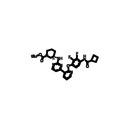 CC(C)(C)OC(=O)N1CCC[C@H](Nc2nccc(-c3cccnc3Oc3ccc(NC(=O)C4CCC4)c(F)c3F)n2)C1